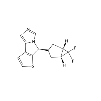 FC1(F)[C@@H]2CC([C@H]3c4sccc4-c4cncn43)C[C@@H]21